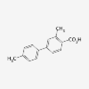 Cc1ccc(-c2ccc(C(=O)O)c(C)c2)cc1